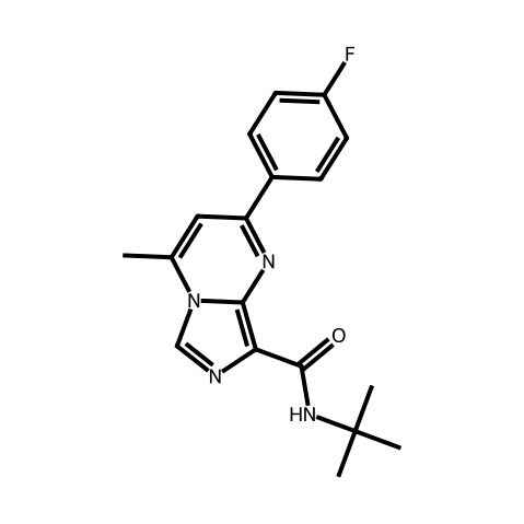 Cc1cc(-c2ccc(F)cc2)nc2c(C(=O)NC(C)(C)C)ncn12